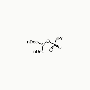 CCCCCCCCCC[S+](CCCCCCCCCC)OS(=O)(=O)CCC